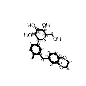 Cc1ccc([C@@H]2S[C@H](CO)[C@@H](O)[C@H](O)[C@H]2O)cc1Cc1ccc2c(c1)OCCO2